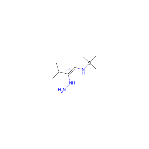 CC(C)/C(=C/N[Si](C)(C)C)NN